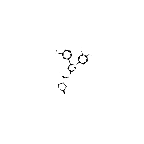 O=C1C[C@@H](C(=O)Nc2cc(-c3cccc(OC(F)(F)F)c3)n(-c3ccc(Cl)c(F)c3)n2)CN1